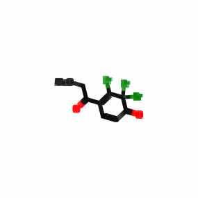 COCC(=O)C1=C(Br)C(Br)(Br)C(=O)C=C1